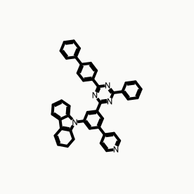 C1=Cc2c(n(-c3cc(-c4ccncc4)cc(-c4nc(-c5ccccc5)nc(-c5ccc(-c6ccccc6)cc5)n4)c3)c3ccccc23)CC1